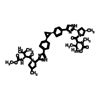 COC(=O)N[C@H](C(=O)N1CC(C)CC1c1nc(-c2ccc([C@H]3C[C@@H]3c3ccc(-c4c[nH]c([C@@H]5C[C@H](C)CN5C(=O)[C@H](C(C)C)N(C)C(=O)O)n4)cc3)cc2)c[nH]1)C(C)C